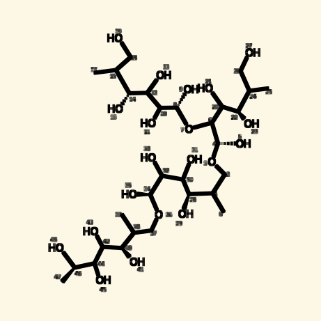 CC(CO[C@@H](O)C(O[C@@H](O)C(O)C(O)[C@H](O)C(C)CO)C(O)[C@H](O)C(C)CO)[C@@H](O)C(O)C(O)[C@H](O)OCC(C)[C@@H](O)C(O)C(O)[C@@H](C)O